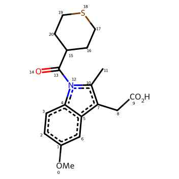 COc1ccc2c(c1)c(CC(=O)O)c(C)n2C(=O)C1CCSCC1